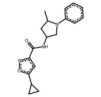 CC1CC(NC(=O)c2cc(C3CC3)on2)CN1c1ccccc1